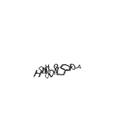 CN1[C@@H]2CC[C@H]1C[C@@H](Oc1ccc(N3CCc4cc(OCC5CC5)ccc4C3=O)cc1Cl)C2